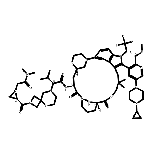 CO[C@@H](C)c1ncc(N2CCN(C3CC3)CC2)cc1-c1c2c3cc(ccc3n1CC(F)(F)F)N1CCO[C@@H](C[C@H](NC(=O)[C@H](C(C)C)N3CCOC4(CN(C(=O)[C@H]5CN5CC(=O)N(C)C)C4)C3)C(=O)N3CCC[C@H](N3)C(=O)OCC(C)(C)C2)C1